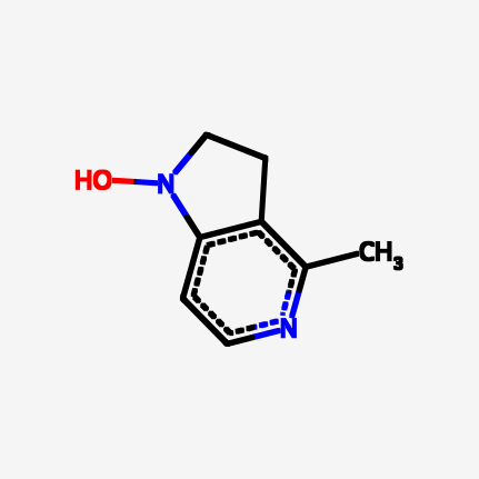 Cc1nccc2c1CCN2O